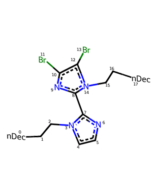 CCCCCCCCCCCCn1ccnc1-c1nc(Br)c(Br)n1CCCCCCCCCCCC